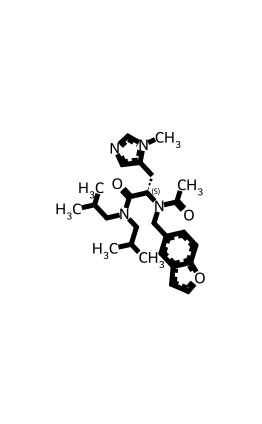 CC(=O)N(Cc1ccc2occc2c1)[C@@H](Cc1cncn1C)C(=O)N(CC(C)C)CC(C)C